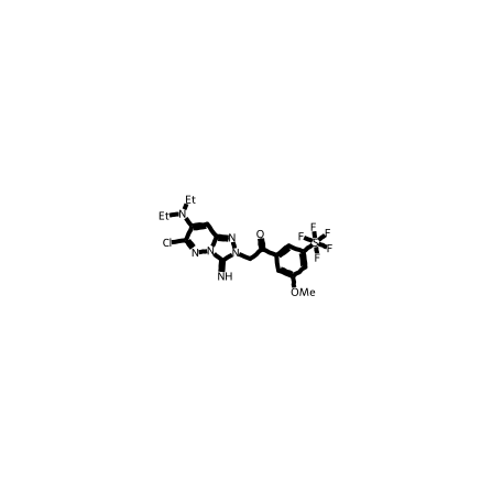 CCN(CC)c1cc2nn(CC(=O)c3cc(OC)cc(S(F)(F)(F)(F)F)c3)c(=N)n2nc1Cl